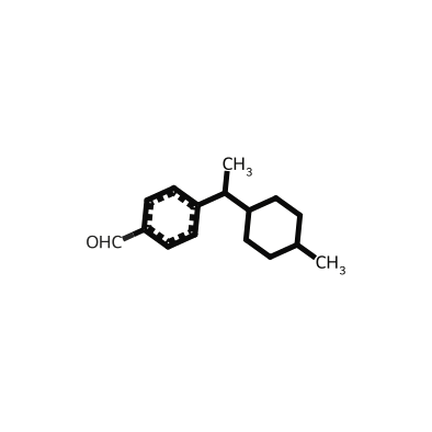 CC1CCC(C(C)c2ccc(C=O)cc2)CC1